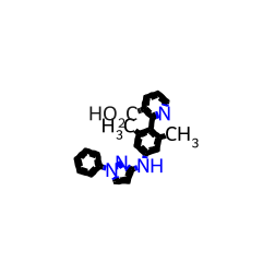 Cc1cc(Nc2ccn(-c3ccccc3)n2)cc(C)c1-c1ncccc1C(=O)O